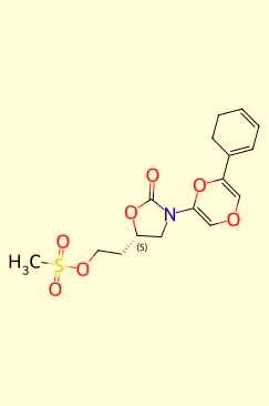 CS(=O)(=O)OCC[C@H]1CN(C2=COC=C(C3=CC=CCC3)O2)C(=O)O1